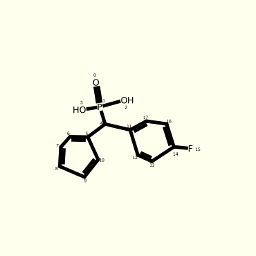 O=P(O)(O)C(c1ccccc1)c1ccc(F)cc1